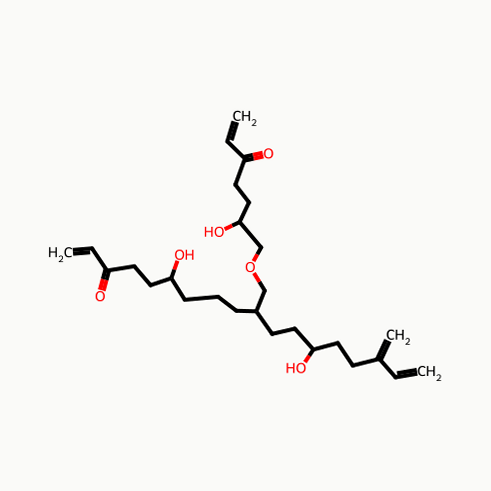 C=CC(=C)CCC(O)CCC(CCCC(O)CCC(=O)C=C)COCC(O)CCC(=O)C=C